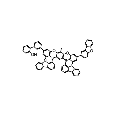 Cc1c2c(cc3c1Oc1cc(-c4ccc5oc6ccccc6c5c4)cc4c1B3c1cccc3c5ccccc5n-4c13)B1c3c(cc(-c4cccc(-c5ccccc5O)c4)cc3-n3c4ccccc4c4cccc1c43)O2